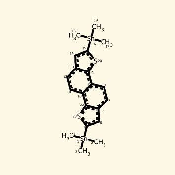 [CH3][Sn]([CH3])([CH3])[c]1cc2ccc3c(ccc4c[c]([Sn]([CH3])([CH3])[CH3])sc43)c2s1